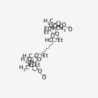 CCC1(CCCCCCC(O)CC2(CC)COC3(CC(C)(C)N(OC(C)c4ccc(OCC5CO5)cc4)C(CC)(CC)C3)OC2)COC2(CC(C)(C)N(OC(C)c3ccc(OCC4CO4)cc3)C(CC)(CC)C2)OC1